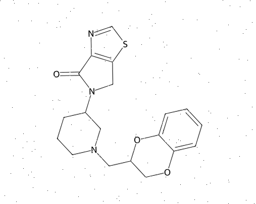 O=C1c2ncsc2CN1C1CCCN(CC2COc3ccccc3O2)C1